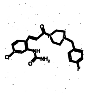 NC(=O)Nc1cc(Cl)ccc1C=CC(=O)N1CCN(Cc2ccc(F)cc2)CC1